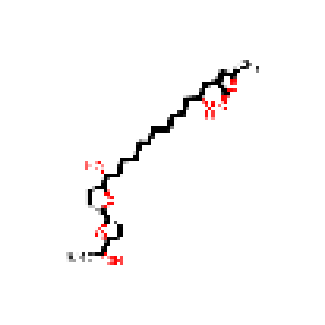 CCCCCCCCCC[C@@H](O)[C@@H]1CC[C@@H]([C@@H]2CC[C@@H]([C@@H](O)CCCCCCCCCC[C@H](O)CC3=CC(C)OC3=O)O2)O1